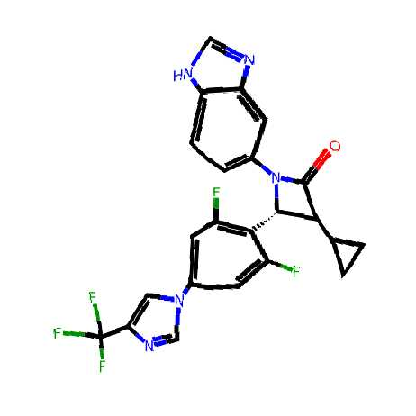 O=C1C(C2CC2)[C@H](c2c(F)cc(-n3cnc(C(F)(F)F)c3)cc2F)N1c1ccc2[nH]cnc2c1